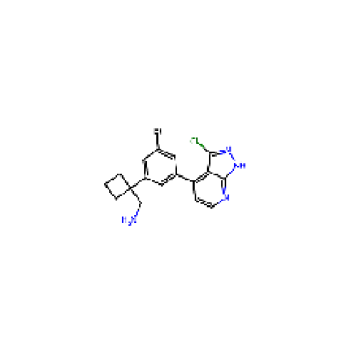 CCc1cc(-c2ccnc3[nH]nc(Cl)c23)cc(C2(CN)CCC2)c1